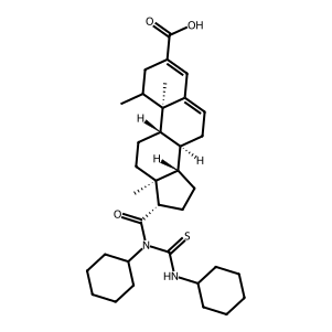 CC1CC(C(=O)O)=CC2=CC[C@H]3[C@@H]4CC[C@H](C(=O)N(C(=S)NC5CCCCC5)C5CCCCC5)[C@@]4(C)CC[C@@H]3[C@]21C